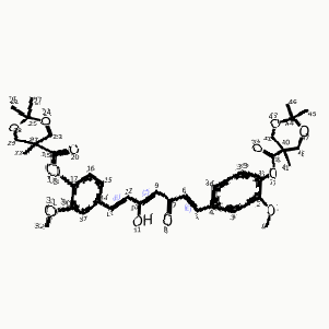 COc1cc(/C=C/C(=O)/C=C(O)/C=C/c2ccc(OC(=O)C3(C)COC(C)(C)OC3)c(OC)c2)ccc1OC(=O)C1(C)COC(C)(C)OC1